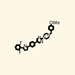 COc1ccc(CN2CCN(c3ncc(-c4ccc(C5CCC(c6c(F)cccc6F)=N5)cc4)cn3)CC2)cc1